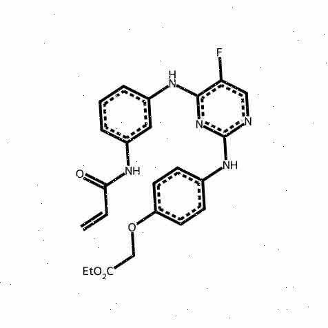 C=CC(=O)Nc1cccc(Nc2nc(Nc3ccc(OCC(=O)OCC)cc3)ncc2F)c1